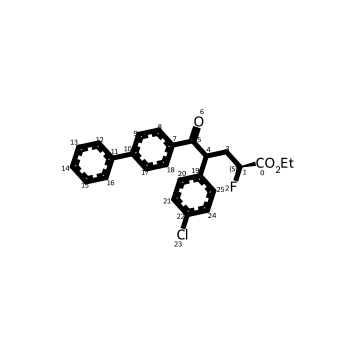 CCOC(=O)[C@@H](F)CC(C(=O)c1ccc(-c2ccccc2)cc1)c1ccc(Cl)cc1